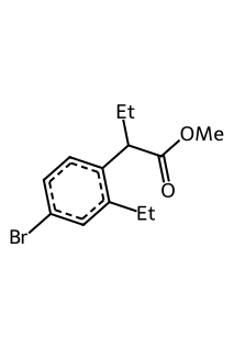 CCc1cc(Br)ccc1C(CC)C(=O)OC